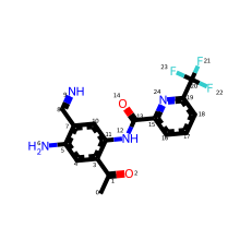 CC(=O)c1cc(N)c(C=N)cc1NC(=O)c1cccc(C(F)(F)F)n1